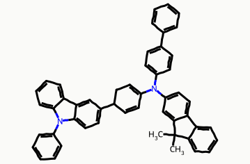 CC1(C)c2ccccc2-c2ccc(N(C3=CCC(c4ccc5c(c4)c4ccccc4n5-c4ccccc4)C=C3)c3ccc(-c4ccccc4)cc3)cc21